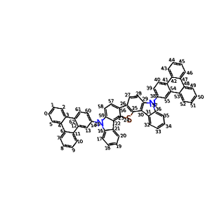 c1ccc2c(c1)c1ccccc1c1cc(-n3c4ccccc4c4c5sc6c(ccc7c6c6ccccc6n7-c6ccc7c8ccccc8c8ccccc8c7c6)c5ccc43)ccc21